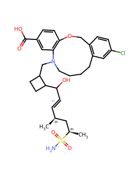 C[C@H](C[C@@H](C)/C=C/C(O)C1CCC1CN1CCCCc2cc(Cl)ccc2COc2ccc(C(=O)O)cc21)S(N)(=O)=O